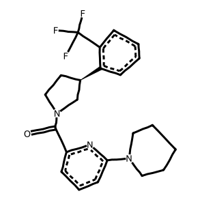 O=C(c1cccc(N2CCCCC2)n1)N1CC[C@@H](c2ccccc2C(F)(F)F)C1